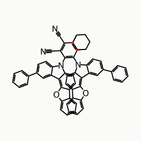 N#Cc1c(C#N)c(-n2c3ccc(-c4ccccc4)cc3c3c4oc5ccccc5c4ccc32)c(-n2c3ccc(-c4ccccc4)cc3c3c4oc5ccccc5c4ccc32)c2c1C1CCC2CC1